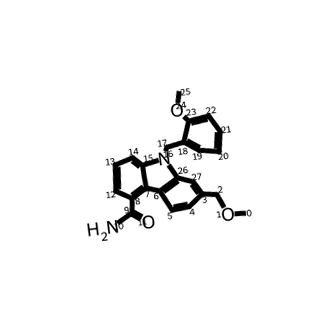 COCc1c[c]c2c3c(C(N)=O)cccc3n(Cc3ccccc3OC)c2c1